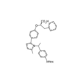 CCCCCCc1ccc(C(C)n2c(C)ccc2-c2ccc(O[C@H](Cc3ccccc3)C(=O)O)cc2)cc1